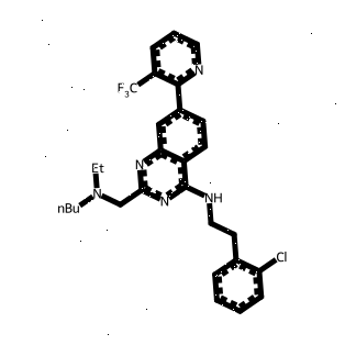 CCCCN(CC)Cc1nc(NCCc2ccccc2Cl)c2ccc(-c3ncccc3C(F)(F)F)cc2n1